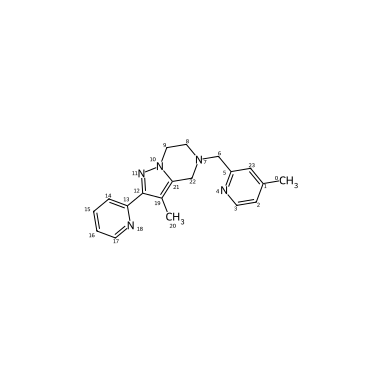 Cc1ccnc(CN2CCn3nc(-c4ccccn4)c(C)c3C2)c1